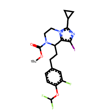 CC(C)(C)OC(=O)N1CCn2c(C3CC3)nc(I)c2C1CCc1ccc(OC(F)F)c(F)c1